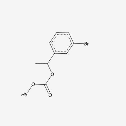 CC(OC(=O)OS)c1cccc(Br)c1